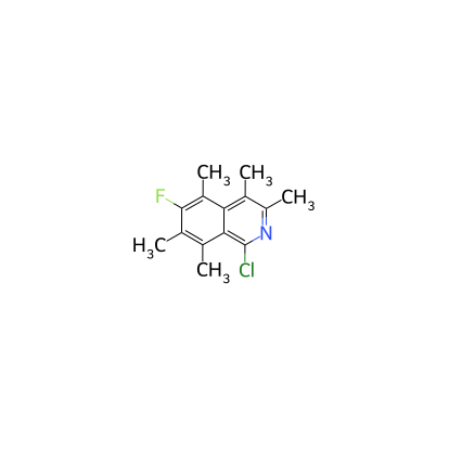 Cc1nc(Cl)c2c(C)c(C)c(F)c(C)c2c1C